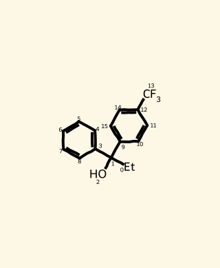 CCC(O)(c1ccccc1)c1ccc(C(F)(F)F)cc1